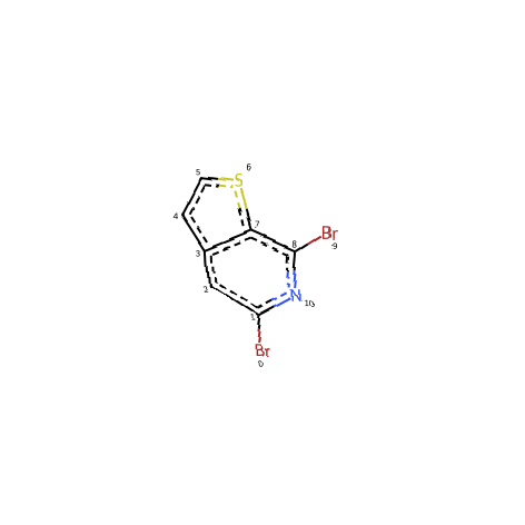 Brc1cc2ccsc2c(Br)n1